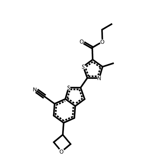 CCOC(=O)c1sc(-c2cc3cc(C4COC4)cc(C#N)c3s2)nc1C